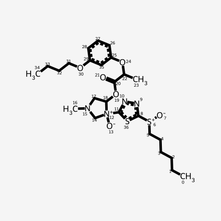 CCCCCC[S+]([O-])c1nnc([N+]2([O-])CN(C)CC2OC(=O)C(C)Oc2cccc(OCCCC)c2)s1